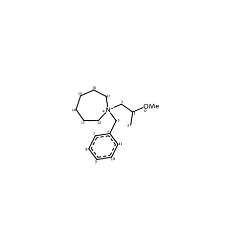 COC(C)C[N+]1(Cc2ccccc2)CCCCCC1